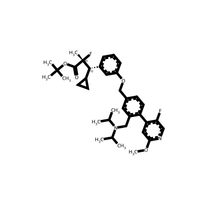 COc1cc(-c2ccc(COc3cccc([C@H](C4CC4)[C@@](C)(F)C(=O)OC(C)(C)C)c3)cc2CN(C(C)C)C(C)C)c(F)cn1